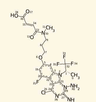 C[C@H](n1c2cc(OCCCN(C)C(=O)/C=C/C(=O)O)cc(F)c2c2c(Cl)nc(=N)n(N)c21)C(F)(F)F